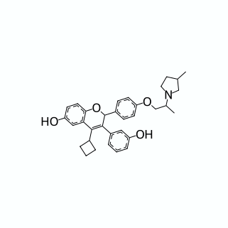 CC1CCN(C(C)COc2ccc(C3Oc4ccc(O)cc4C(C4CCC4)=C3c3cccc(O)c3)cc2)C1